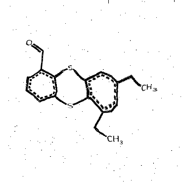 CCc1cc(CC)c2c(c1)Sc1c(C=O)cccc1S2